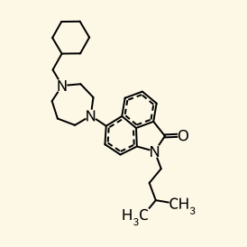 CC(C)CCN1C(=O)c2cccc3c(N4CCCN(CC5CCCCC5)CC4)ccc1c23